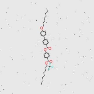 CCCCCCCCOc1ccc(-c2ccc(C(=O)Oc3ccc(C(=O)OC(CCCCCCCC)C(F)(F)F)cc3)cc2)cc1